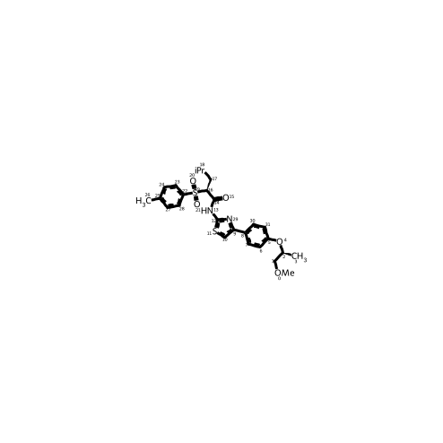 COC[C@H](C)Oc1ccc(-c2csc(NC(=O)[C@H](CC(C)C)S(=O)(=O)c3ccc(C)cc3)n2)cc1